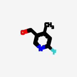 Cc1cc(F)ncc1C=O